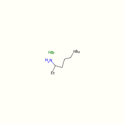 Br.CCCCCCCC(N)CC